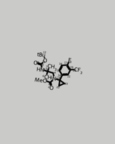 COC(=O)N(CC(C)(C)NC(=O)OC(C)(C)C)C1(c2ccc(F)c(C(F)(F)F)c2)CC1